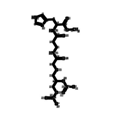 COC(=O)C(Cc1c[nH]cn1)NC(=O)CCNC(=O)COCC(CO[N+](=O)[O-])O[N+](=O)[O-]